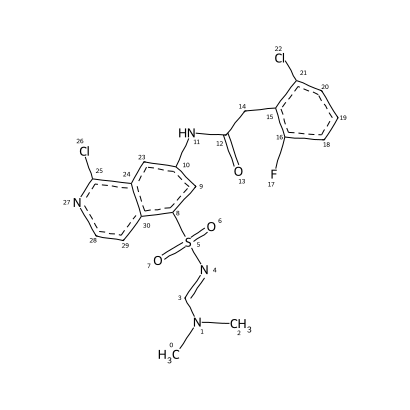 CN(C)C=NS(=O)(=O)c1cc(NC(=O)Cc2c(F)cccc2Cl)cc2c(Cl)nccc12